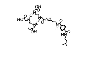 CC(C)CCCNC(=O)c1ccc(C(=O)NCCCCNC(=O)CN2CCN(CC(=O)O)CCN(CC(=O)O)CCN(CC(=O)O)CC2)cc1